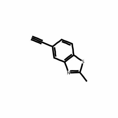 C#Cc1ccc2sc(C)nc2c1